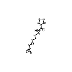 O=C(NCCCCOCC1CO1)C1CCCC1